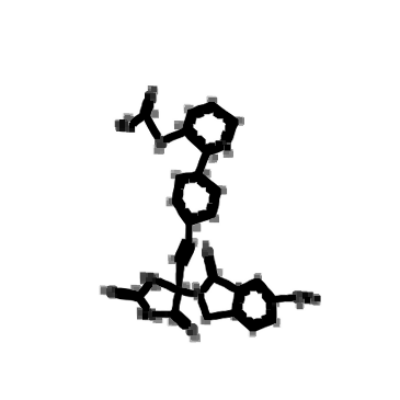 COc1ccc2c(c1)C(=O)N([C@@]1(C#Cc3ccc(-c4ncccc4OC(=O)C(C)(C)C)cc3)NC(=O)NC1=O)C2